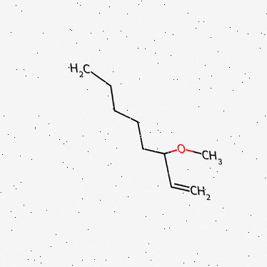 [CH2]CCCCC(C=C)OC